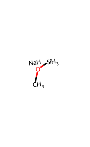 CO[SiH3].[NaH]